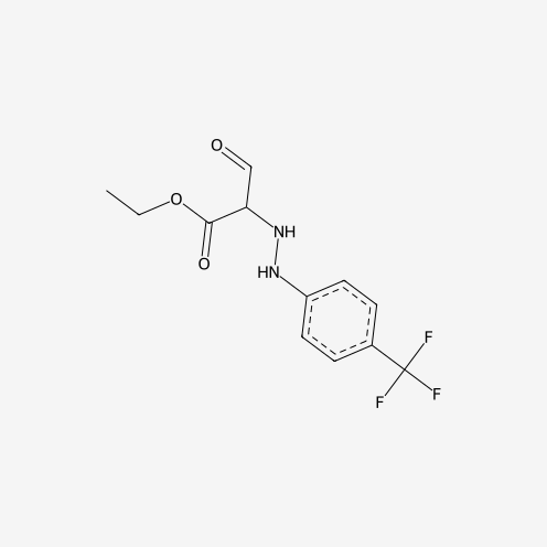 CCOC(=O)C(C=O)NNc1ccc(C(F)(F)F)cc1